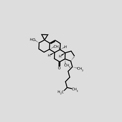 CC(C)CCC[C@@H](C)[C@H]1CC[C@H]2[C@@H]3CC=C4C5(CC5)[C@@H](O)CC[C@]4(C)[C@H]3CC(=O)[C@]12C